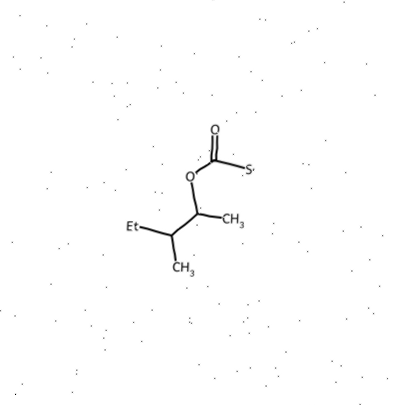 CCC(C)C(C)OC(=O)[S]